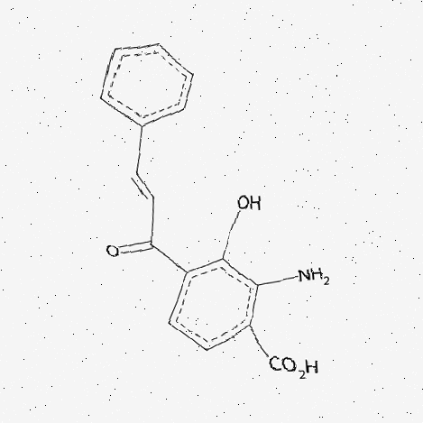 Nc1c(C(=O)O)ccc(C(=O)C=Cc2ccccc2)c1O